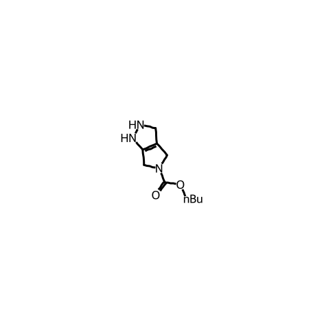 CCCCOC(=O)N1CC2=C(C1)NNC2